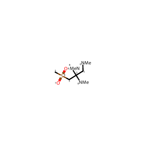 CN[CH]C(CS(C)(=O)=O)(NC)NC